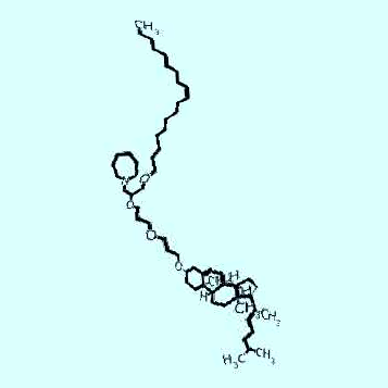 CCCCCCCC/C=C\CCCCCCCCOCC(CN1CCCCCC1)OCCCOCCCO[C@H]1CC[C@@]2(C)C(=CC[C@H]3[C@@H]4CC[C@H]([C@H](C)CCCC(C)C)[C@@]4(C)CC[C@@H]32)C1